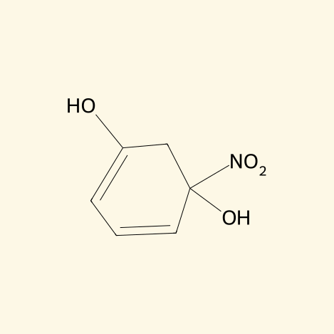 O=[N+]([O-])C1(O)C=CC=C(O)C1